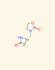 C[C@@H]1C(=O)N[C@@H]1CN1CCOC1=O